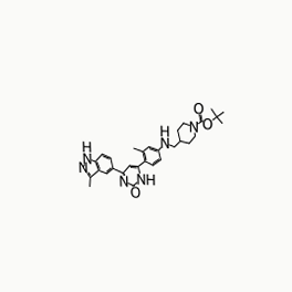 Cc1cc(NCC2CCN(C(=O)OC(C)(C)C)CC2)ccc1-c1cc(-c2ccc3[nH]nc(C)c3c2)nc(=O)[nH]1